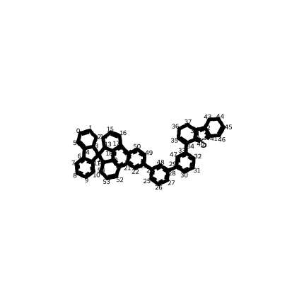 C1=CCC2C(=C1)c1ccccc1C21C2CC=Cc3c2c2c(c4cc(-c5cccc(-c6cccc(C7=CCCc8c7sc7c8CCC=C7)c6)c5)ccc34)C=CCC21